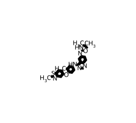 Cc1nc2cc(Oc3ccc(Nc4ncnc5ccc(/N=C6/NC(C)(C)CO6)cc45)cc3C)ccc2s1